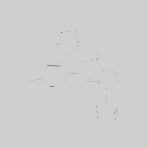 Clc1ccc(-c2c(-c3ccc(Cl)cc3Cl)nc3c(cnn3-c3ccccc3)c2Cl)cc1